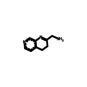 NCC1=Nc2cnccc2CC1